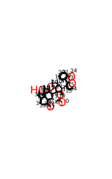 COC(=O)C[C@H]1[C@]2(C)C3=C(C)[C@H](c4ccoc4-c4ccccc4OC)C[C@H]3O[C@@H]2[C@H](O)[C@H]2C(C)=CCC(=O)[C@]12C